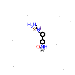 CC(C)C(=O)Nc1ccc(-c2cccc(CN(I)C(=S)CN)c2)cc1